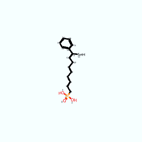 O=P(O)(O)CCCCCCCCC([SeH])c1ccccc1